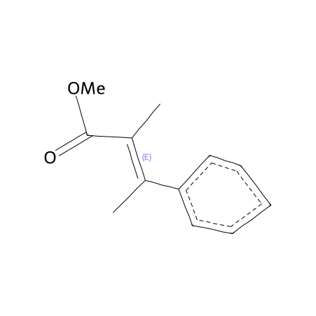 COC(=O)/C(C)=C(\C)c1ccccc1